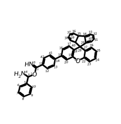 N=C(OC(N)c1ccccc1)c1ccc(-c2ccc3c(c2)Oc2ccccc2C32c3ccccc3C3C=CC=CC32)cc1